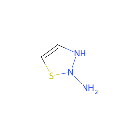 NN1NC=CS1